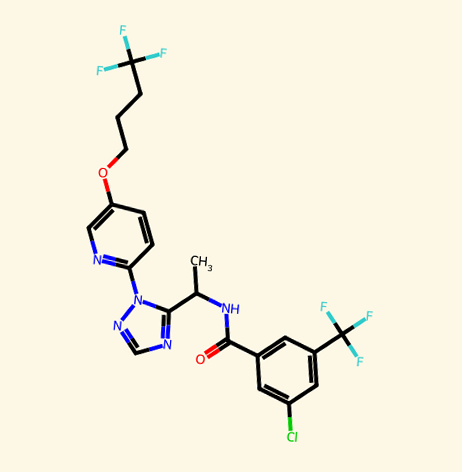 CC(NC(=O)c1cc(Cl)cc(C(F)(F)F)c1)c1ncnn1-c1ccc(OCCCC(F)(F)F)cn1